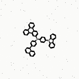 c1ccc2c(-c3ccc(N(c4ccc(-n5c6ccccc6c6ccccc65)cc4)c4ccc5c6ccccc6c6ccccc6c5c4)cc3)cccc2c1